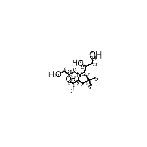 CC(C)C(CC(C)(C)C)N(CC(O)CO)CC(O)CO